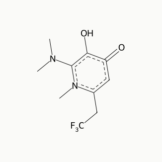 CN(C)c1c(O)c(=O)cc(CC(F)(F)F)n1C